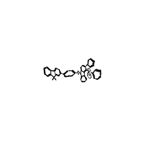 CC1(C)c2ccccc2-c2ccc(-c3ccc(-n4c5ccccc5c5c6c(ccc54)-c4ccccc4P6(=O)c4ccccc4)cc3)cc21